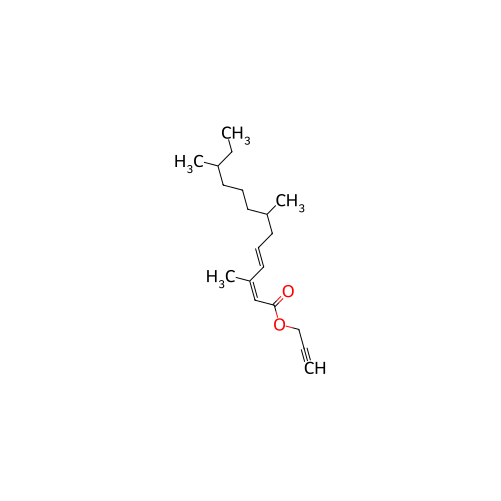 C#CCOC(=O)C=C(C)C=CCC(C)CCCC(C)CC